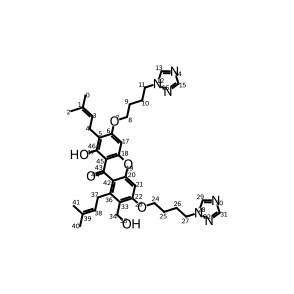 CC(C)=CCc1c(OCCCCn2cncn2)cc2oc3cc(OCCCCn4cncn4)c(CO)c(CC=C(C)C)c3c(=O)c2c1O